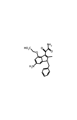 Cc1c(C(=O)C(N)=O)c2c(OCC(=O)O)cc(N)cc2n1Cc1ccccc1